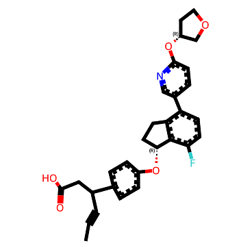 CC#CC(CC(=O)O)c1ccc(O[C@@H]2CCc3c(-c4ccc(O[C@@H]5CCOC5)nc4)ccc(F)c32)cc1